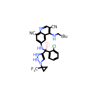 BC(Nc1cc(C#N)c2ncc(C#N)c(NCC(C)(C)C)c2c1)(C1=CN(C2(C(F)(F)F)CC2)NN1)c1ccccc1Cl